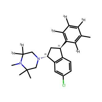 [2H]c1c([2H])c(C)c([2H])c([C@@H]2C[C@@H](N3CC([2H])([2H])N(C)C(C)(C)C3)c3cc(Cl)ccc32)c1[2H]